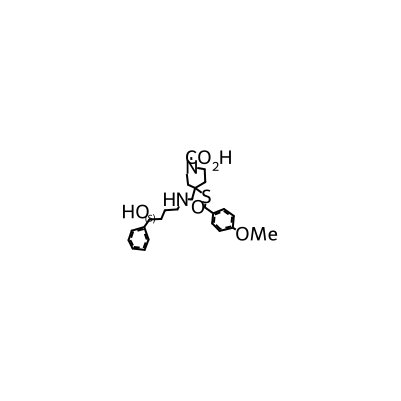 COc1ccc(CSC2(C(=O)NCCC[C@H](O)c3ccccc3)CCN(C(=O)O)CC2)cc1